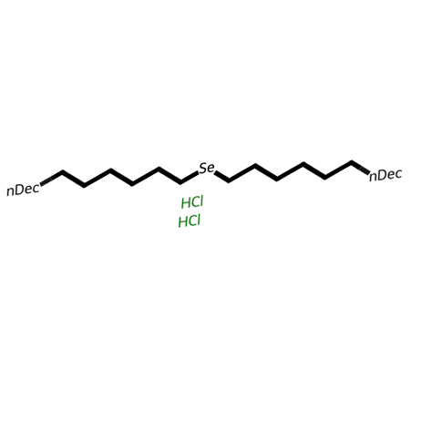 CCCCCCCCCCCCCCCC[Se]CCCCCCCCCCCCCCCC.Cl.Cl